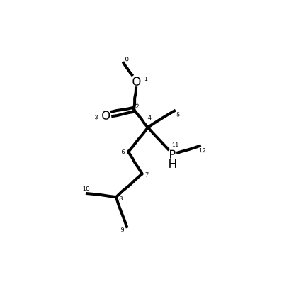 COC(=O)C(C)(CCC(C)C)PC